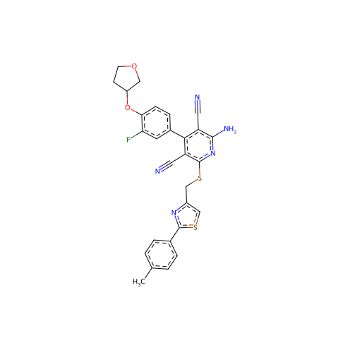 Cc1ccc(-c2nc(CSc3nc(N)c(C#N)c(-c4ccc(OC5CCOC5)c(F)c4)c3C#N)cs2)cc1